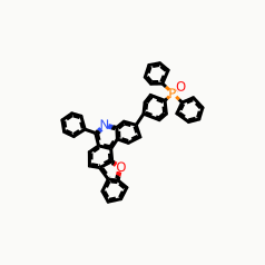 O=P(c1ccccc1)(c1ccccc1)c1ccc(-c2ccc3c(c2)nc(-c2ccccc2)c2ccc4c5ccccc5oc4c23)cc1